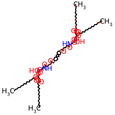 CCCCCCCCCCCCCCCC(=O)OCC(COP(=O)(O)OCCNC(=O)CCCC(=O)C[C@H]1CCC2(CC1)CC1(CC[C@H](CC(=O)CCCC(=O)NCCOP(=O)(O)OCC(COC(=O)CCCCCCCCCCCCCCC)OC(=O)CCCCCCCCCCCCCCC)CC1)C2)OC(=O)CCCCCCCCCCCCCCC